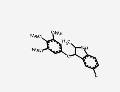 COc1cc(OC2c3cc(F)ccc3NC2C)cc(OC)c1OC